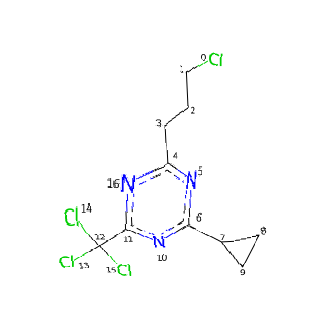 ClCCCc1nc(C2CC2)nc(C(Cl)(Cl)Cl)n1